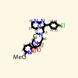 COc1cccc(C(=O)N2C3CCN(Cc4c(-c5ccc(Cl)cc5)nc5ncccn45)CC2CC(=O)C3)n1